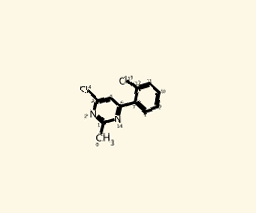 Cc1nc(Cl)cc(-c2ccccc2Cl)n1